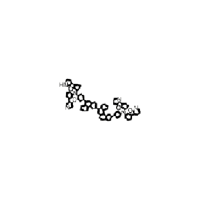 C1=Cc2c(oc3c(N(c4ccc(-c5cc6ccc(-c7cc8ccc9ccc(-c%10ccc(N(c%11cccc%12c%11oc%11ncccc%11%12)c%11cccc%12c%11oc%11cccnc%11%12)cc%10)cc9c8c8ccccc78)cc6c6ccccc56)cc4)c4cccc5c4oc4ccncc45)cccc23)NC1